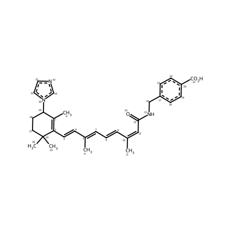 CC1=C(/C=C/C(C)=C/C=C/C(C)=C\C(=O)NCc2ccc(C(=O)O)cc2)C(C)(C)CCC1n1ccnc1